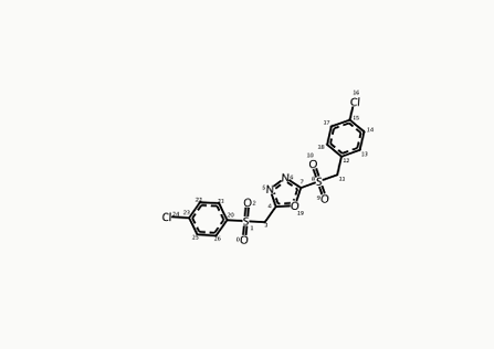 O=S(=O)(Cc1nnc(S(=O)(=O)Cc2ccc(Cl)cc2)o1)c1ccc(Cl)cc1